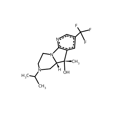 CC(C)N1CCN2c3ncc(C(F)(F)F)cc3[C@](C)(O)[C@@H]2C1